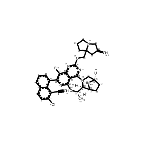 C#Cc1c(Cl)ccc2cccc(-c3nc4c5c(nc(OCC67CCCN6CC(=C)C7)nc5c3F)N3C[C@H]5CC[C@H](N5)[C@H]3[C@H](C)O4)c12